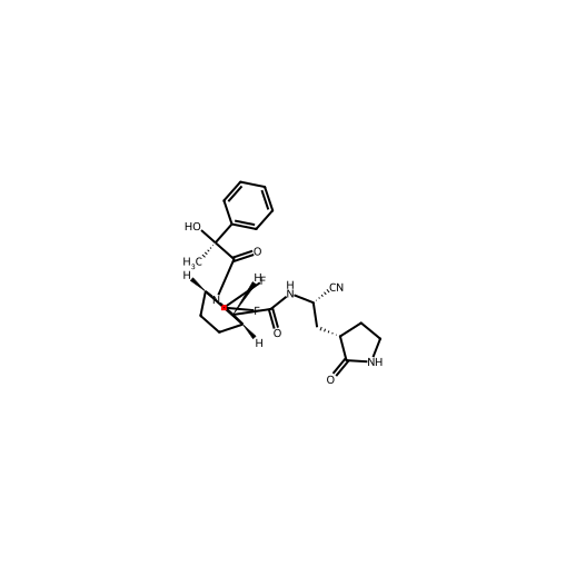 C[C@@](O)(C(=O)N1[C@H]2CC[C@@H]([C@H]1C(=O)N[C@H](C#N)C[C@@H]1CCNC1=O)C(F)(F)C2)c1ccccc1